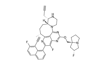 C#CC[C@@H]1NCCN2c3nc(OC[C@@]45CCCN4C[C@H](F)C5)nc4c(F)c(-c5cccc6ccc(F)c(C#C)c56)nc(c34)[C@H](C)CC[C@H]12